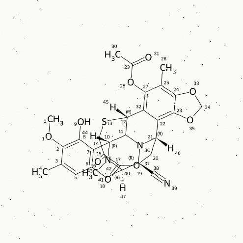 COc1c(C)cc2c(c1O)[C@@H]1C3[C@@H]4SCC(=O)C(=O)OC[C@@H](c5c6c(c(C)c(OC(C)=O)c54)OCO6)N3[C@@H](C#N)[C@@H](C2)N1C